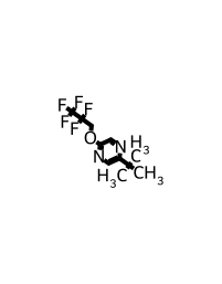 CC(C)(C)c1cnc(OCC(F)(F)C(F)(F)F)cn1